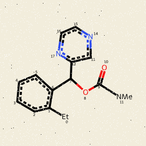 CCc1ccccc1C(OC(=O)NC)c1cnccn1